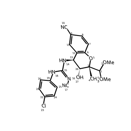 COC(OC)[C@@]1(C)Oc2ccc(C#N)cc2[C@H](NC(=NC#N)Nc2ccc(Cl)cc2)[C@H]1O